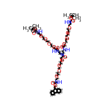 CC(C)(C)OC(=O)NCCOCCOCCOCCOCC(=O)NCCN(CCNC(=O)COCCOCCOCCOCCNC(=O)OC(C)(C)C)C(=O)COCCOCCOCCOCCNC(=O)OCC1c2ccccc2-c2ccccc21